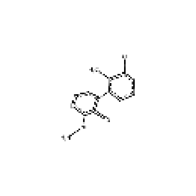 Cc1c(Cl)cccc1-n1ccnc(NN)c1=O